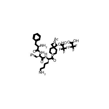 CC(=O)N1CC2(CCN(C(=O)[C@@H](CCCCN)NC(=O)[C@@H](CC(C)C)NC(=O)[C@H](N)Cc3ccccc3)CC2)C1.O=C(O)C(F)(F)F.O=C(O)C(F)(F)F